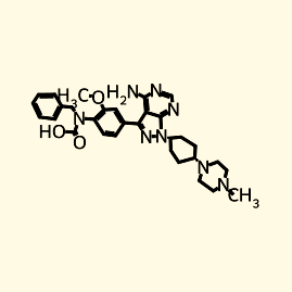 COc1cc(-c2nn([C@H]3CC[C@H](N4CCN(C)CC4)CC3)c3ncnc(N)c23)ccc1N(Cc1ccccc1)C(=O)O